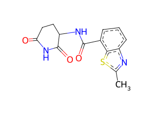 Cc1nc2cccc(C(=O)NC3CCC(=O)NC3=O)c2s1